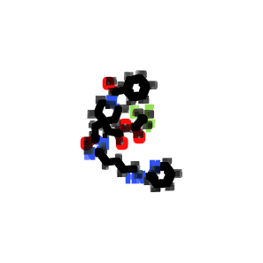 O=C(CC1(Cc2nc(CCCCNc3ccccn3)no2)CCN(C(=O)c2ccccc2)CC1)OC(=O)C(F)(F)F